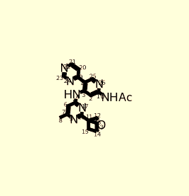 CC(=O)Nc1cc(Nc2cc(C)nc(C34COC(C3)C4)n2)c(-c2ccncn2)cn1